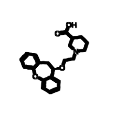 O=C(O)C1CCCN(CCO[C@@H]2Cc3ccccc3Oc3ccccc32)C1